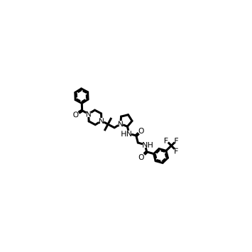 CC(C)(CN1CCCC1NC(=O)CNC(=O)c1cccc(C(F)(F)F)c1)N1CCN(C(=O)c2ccccc2)CC1